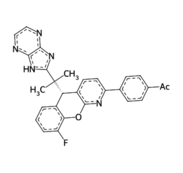 CC(=O)c1ccc(-c2ccc3c(n2)Oc2c(F)cccc2[C@@H]3C(C)(C)c2nc3nccnc3[nH]2)cc1